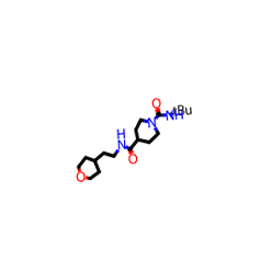 CC(C)(C)NC(=O)N1CCC(C(=O)NCCC2CCOCC2)CC1